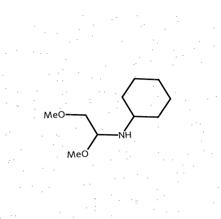 COCC(NC1CCCCC1)OC